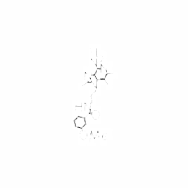 COc1cccc(C(=O)NCCCn2c(C)nc3c(N)nc(C)c(C)c32)c1